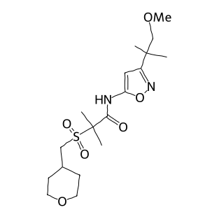 COCC(C)(C)c1cc(NC(=O)C(C)(C)S(=O)(=O)CC2CCOCC2)on1